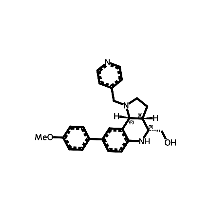 COc1ccc(-c2ccc3c(c2)[C@H]2[C@H](CCN2Cc2ccncc2)[C@H](CO)N3)cc1